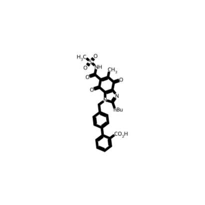 CCCCc1nc2c(n1Cc1ccc(-c3ccccc3C(=O)O)cc1)C(=O)C(C(=O)NS(C)(=O)=O)=C(C)C2=O